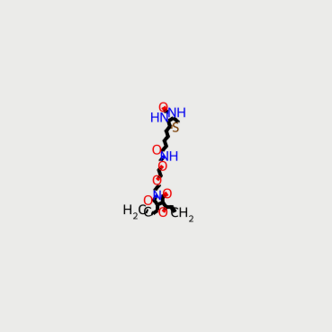 C=C=CC1OC(C=C)C2C(=O)N(CCOCCOCNC(=O)CCCCC3SCC4NC(=O)NC43)C(=O)C12